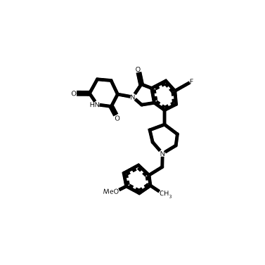 COc1ccc(CN2CCC(c3cc(F)cc4c3CN(C3CCC(=O)NC3=O)C4=O)CC2)c(C)c1